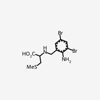 CSCC(NCc1cc(Br)cc(Br)c1N)C(=O)O